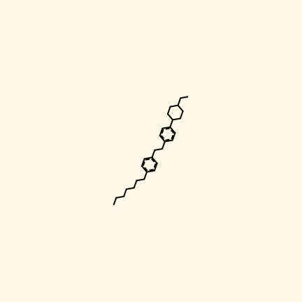 CCCCCCCc1ccc(CCc2ccc(C3CCC(CC)CC3)cc2)cc1